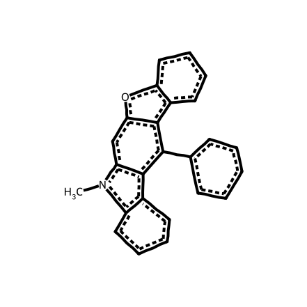 Cn1c2ccccc2c2c(-c3ccccc3)c3c(cc21)oc1ccccc13